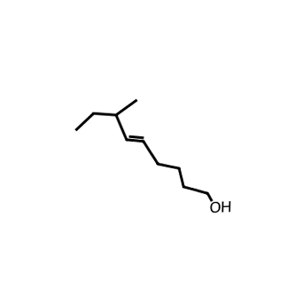 CCC(C)C=CCCCCO